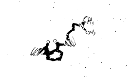 CN(C)CCCNC(=O)c1ccccc1C(=O)O